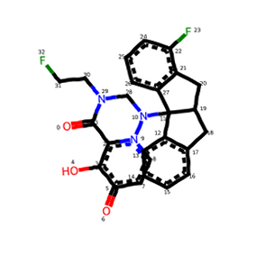 O=C1c2c(O)c(=O)ccn2N(C23c4ccccc4CC2Cc2c(F)cccc23)CN1CCF